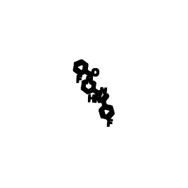 O=C(c1ccccc1F)N1CCCC(c2ncc(-c3ccc(F)cc3)[nH]2)C1